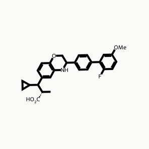 COc1ccc(F)c(-c2ccc(C3COc4ccc(C(C5CC5)[C@H](C)C(=O)O)cc4N3)cc2)c1